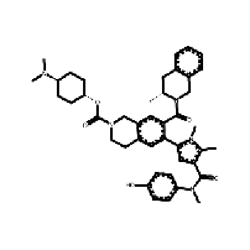 Cc1c(C(=O)N(C)c2ccc(O)cc2)cc(-c2cc3c(cc2C(=O)N2Cc4ccccc4C[C@H]2C)CN(C(=O)O[C@H]2CC[C@H](N(C)C)CC2)CC3)n1C